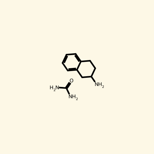 NC(N)=O.NC1CCc2ccccc2C1